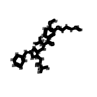 COCCCOc1cc(C(=O)N(CC2CN(Cc3ccccc3)CC2CNC(C)C)C(C)C)ccc1OC